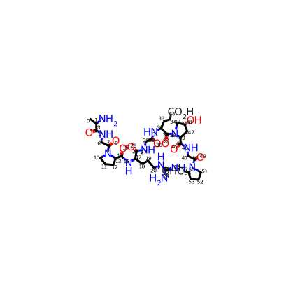 CC(N)C(=O)NCC(=O)N1CCCC1C(=O)NC(CCCNC(=N)N)C(=O)NCC(=O)NC(CCC(=O)O)C(=O)N1CC(O)CC1C(=O)NCC(=O)N1CCCC1C=O